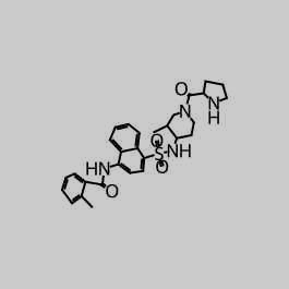 Cc1ccccc1C(=O)Nc1ccc(S(=O)(=O)NC2CCN(C(=O)C3CCCN3)CC2C)c2ccccc12